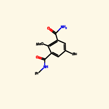 COc1c(C(N)=O)cc(C(C)(C)C)cc1C(=O)NC(C)C